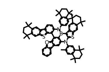 Cc1cc2c(cc1N1c3cc4c(oc5ccccc54)c4c3B(c3c1sc1cc5c(cc31)C(C)(C)CCC5(C)C)N(c1ccc3c(c1)C(C)(C)CCC3(C)C)c1ccc3c(sc5cc6c(cc53)C(C)(C)CCC6(C)C)c1-4)C(C)(C)CCC2(C)C